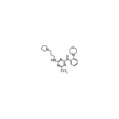 ClC(Cl)(Cl)c1nc(NCCCN2CCCC2)nc(Nc2ccccc2N2CCOCC2)n1